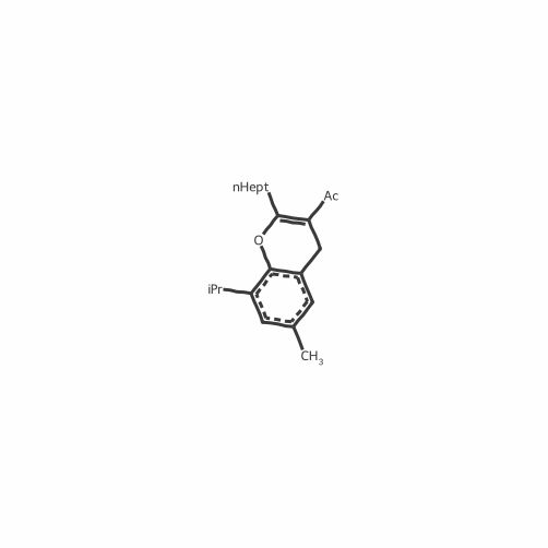 CCCCCCCC1=C(C(C)=O)Cc2cc(C)cc(C(C)C)c2O1